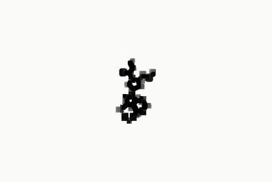 C=CC(=O)N1C[C@@H](n2nc(I)c3c(N)ncnc32)C[C@@H]1COC